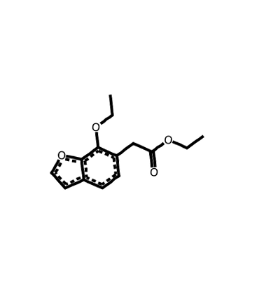 CCOC(=O)Cc1ccc2ccoc2c1OCC